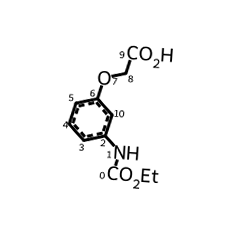 CCOC(=O)Nc1cccc(OCC(=O)O)c1